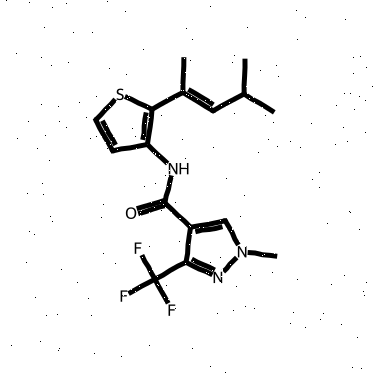 CC(=CC(C)C)c1sccc1NC(=O)c1cn(C)nc1C(F)(F)F